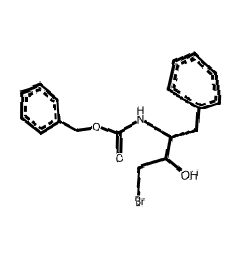 O=C(NC(Cc1ccccc1)C(O)CBr)OCc1ccccc1